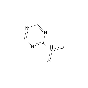 O=[SH](=O)c1ncncn1